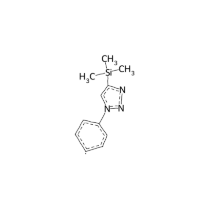 C[Si](C)(C)c1cn(-c2cc[c]cc2)nn1